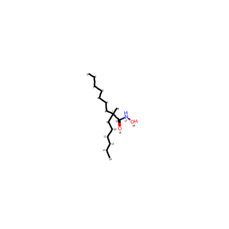 CCCCCCCC(C)(CCCCCC)C(=O)NO